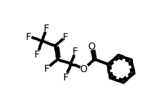 O=C(OC(F)(F)C(F)=C(F)C(F)(F)F)c1ccccc1